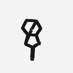 O=C1OC2CC3CCC2C1C3